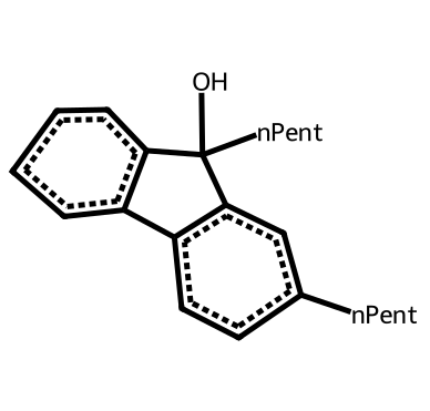 CCCCCc1ccc2c(c1)C(O)(CCCCC)c1ccccc1-2